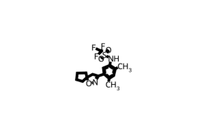 Cc1cc(C)c(C2=NOC3(CCCC3)C2)cc1NS(=O)(=O)C(F)(F)F